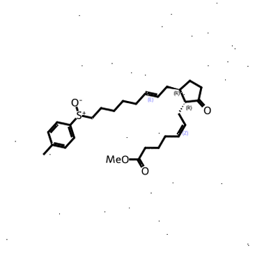 COC(=O)CCC/C=C\C[C@H]1C(=O)CC[C@@H]1C/C=C/CCCCC[S+]([O-])c1ccc(C)cc1